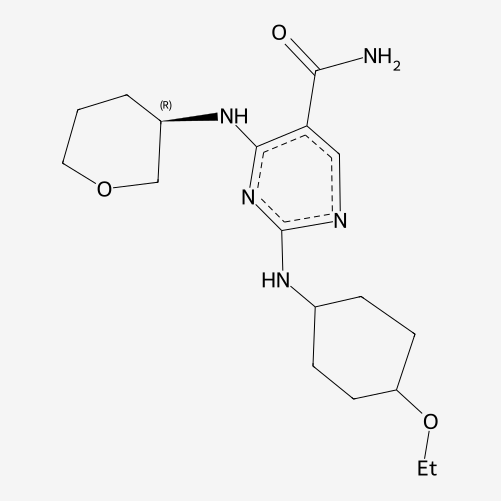 CCOC1CCC(Nc2ncc(C(N)=O)c(N[C@@H]3CCCOC3)n2)CC1